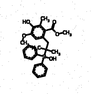 COC(=O)c1c(CC(C)(C)[Si](O)(c2ccccc2)c2ccccc2)cc(OC)c(O)c1C